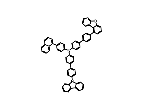 c1ccc2c(-c3ccc(N(c4ccc(-c5ccc(-c6cccc7oc8ccccc8c67)cc5)cc4)c4ccc(-c5ccc(-n6c7ccccc7c7ccccc76)cc5)cc4)cc3)cccc2c1